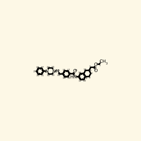 CCOC(=O)CC1CCc2ccc(NC(=O)c3ccc(C=NN4CCN(c5ccccc5)CC4)cc3)cc2C1